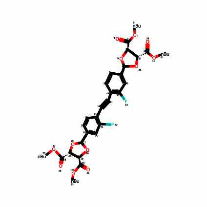 CCCCOC(=O)[C@@H]1OC(c2ccc(C#Cc3ccc(C4O[C@@H](C(=O)OCCCC)[C@H](C(=O)OCCCC)O4)cc3F)c(F)c2)O[C@H]1C(=O)OCCCC